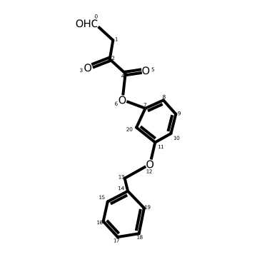 O=CCC(=O)C(=O)Oc1cccc(OCc2ccccc2)c1